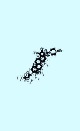 CC(C)C1=C2[C@H]3CC[C@@H]4[C@@]5(C)CC[C@H](OC(=O)CC(C)(C)C(=O)O)C(C)(C)[C@@H]5CC[C@@]4(C)[C@]3(C)CC[C@@]2(NC(=O)N2CCN(C(C)C)CC2)CC1=O